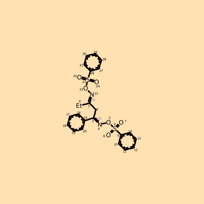 CC/C(C/C(=N\OS(=O)(=O)c1ccccc1)c1ccccc1)=N\OS(=O)(=O)c1ccccc1